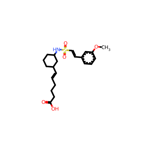 COc1cccc(/C=C/S(=O)(=O)NC2CCCC(/C=C/CCCC(=O)O)C2)c1